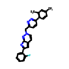 Fc1ccccc1-c1cc2ccn(Cc3ccc(-c4ccc(C(F)(F)F)cc4C(F)(F)F)nn3)nc-2n1